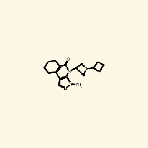 Cn1ncc2c3c(c(=O)n(C4CN(C5CCC5)C4)c21)CCCC3